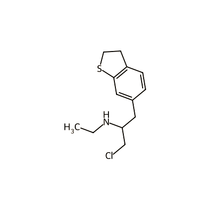 CCNC(CCl)Cc1ccc2c(c1)SCC2